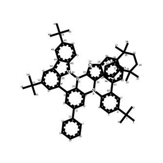 CC(C)(C)c1ccc(N2c3cc(-c4ccccc4)cc4c3B(c3oc5cc6c(cc5c32)C(C)(C)CCC6(C)C)n2c3ccc(C(C)(C)C)cc3c3cc(C(C)(C)C)cc-4c32)c(-c2ccccc2)c1